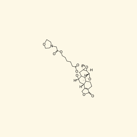 CC(C)[C@]12O[C@H]1[C@@H]1O[C@]13[C@]1(O[C@H]1C[C@H]1C4=C(CC[C@@]13C)C(=O)OC4)[C@@H]2OC(=O)CCCCCOC(=O)CN1CCOCC1